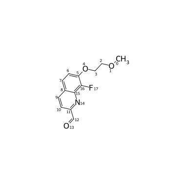 COCCOc1ccc2ccc(C=O)nc2c1F